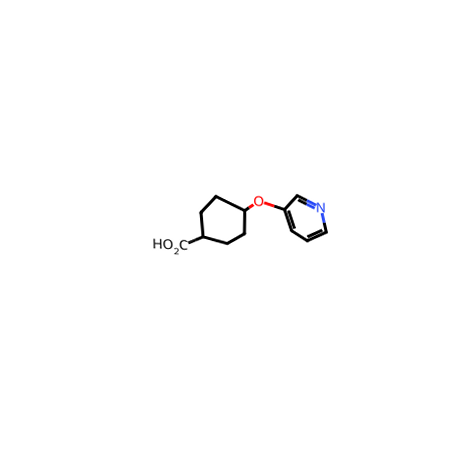 O=C(O)C1CCC(Oc2cccnc2)CC1